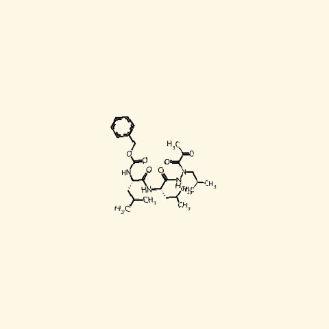 CC(=O)C(=O)N(CC(C)C)NC(=O)[C@H](CC(C)C)NC(=O)[C@H](CC(C)C)NC(=O)OCc1ccccc1